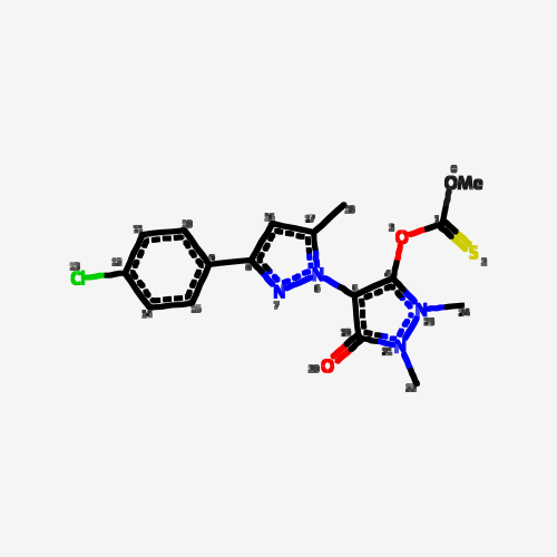 COC(=S)Oc1c(-n2nc(-c3ccc(Cl)cc3)cc2C)c(=O)n(C)n1C